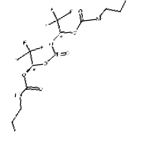 CCCNC(=O)O[C@H](O[PH](=O)O[C@@H](OC(=O)NCCC)C(F)(F)F)C(F)(F)F